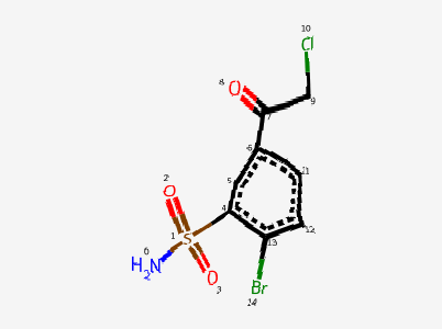 NS(=O)(=O)c1cc(C(=O)CCl)ccc1Br